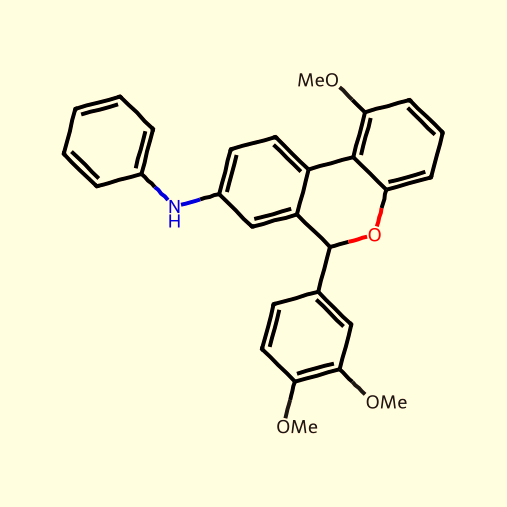 COc1ccc(C2Oc3cccc(OC)c3-c3ccc(Nc4ccccc4)cc32)cc1OC